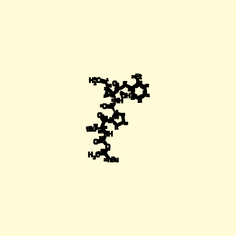 C=C[C@@H]1C[C@]1(NC(=O)[C@@H]1CCCN1C(=O)[C@@H](NC(=O)OC(C)CCCC)C(C)(C)C)P(=O)(O)Cc1ccccc1CC